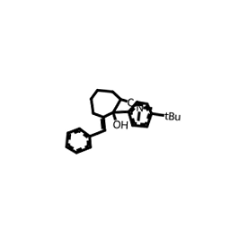 CN(C)CC1CCCCC(=Cc2ccccc2)C1(O)c1ccc(C(C)(C)C)cc1